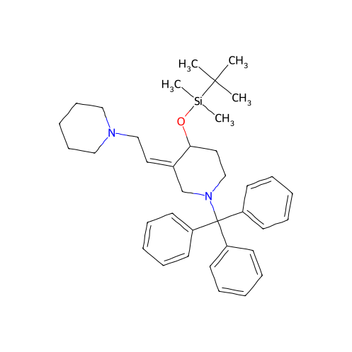 CC(C)(C)[Si](C)(C)OC1CCN(C(c2ccccc2)(c2ccccc2)c2ccccc2)C/C1=C/CN1CCCCC1